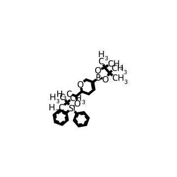 CC(O[Si](c1ccccc1)(c1ccccc1)C(C)(C)C)C1CC=C(B2OC(C)(C)C(C)(C)O2)CO1